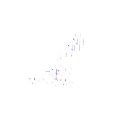 COC(=O)[C@H](CCSC)NC(=O)c1ccc(OC(=O)CN[C@@H]2CCC(=O)N2)cc1-c1ccccc1